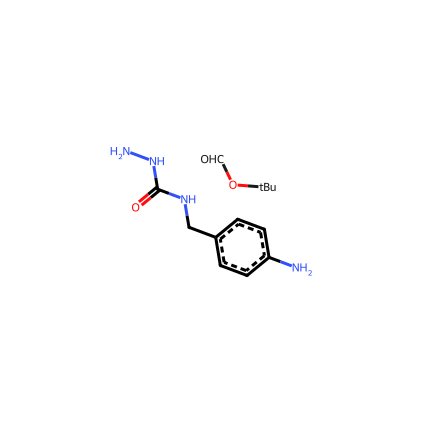 CC(C)(C)OC=O.NNC(=O)NCc1ccc(N)cc1